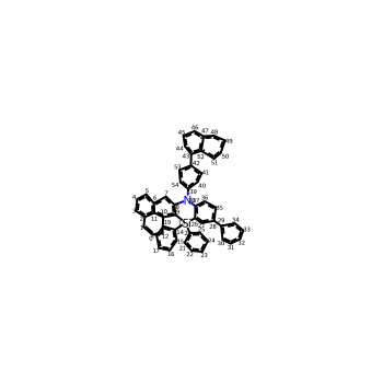 C1=Cc2cccc3cc4c(c(c23)C1)[Si](c1ccccc1)(c1ccccc1)c1cc(-c2ccccc2)ccc1N4c1ccc(-c2cccc3ccccc23)cc1